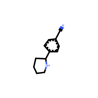 N#Cc1ccc(C2CCCCN2)cc1